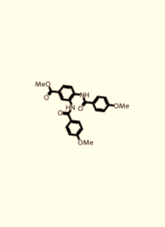 COC(=O)c1ccc(NC(=O)c2ccc(OC)cc2)c(NC(=O)c2ccc(OC)cc2)c1